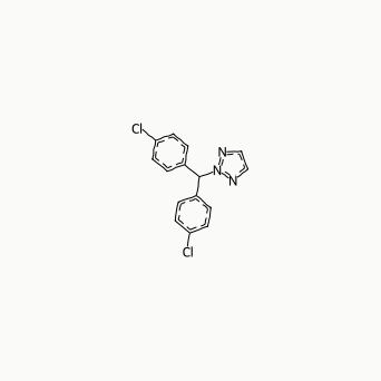 Clc1ccc(C(c2ccc(Cl)cc2)n2nccn2)cc1